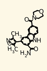 Cc1noc(C)c1-c1cc(C(N)=O)c2[nH]c3ccc(C(=O)N4CCOCC4)cc3c2c1